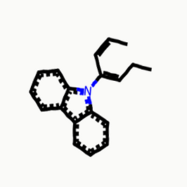 C/C=C\C(=C/CC)n1c2ccccc2c2ccccc21